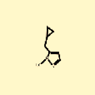 Cn1nccc1CC1CC1